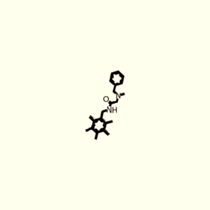 Cc1c(C)c(C)c(CNC(=O)CN(C)Cc2ccccc2)c(C)c1C